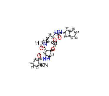 CN1C(=O)c2cc(NC(=O)c3ccccc3C#N)ccc2OC[C@@H]2O[C@H](CC(=O)NC3Cc4ccccc4C3)CC[C@@H]21